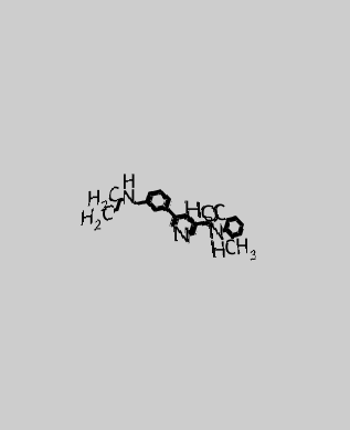 C=CC(=C)NCc1cccc(-c2cncc(C(=O)Nc3c(C)cccc3C)c2)c1